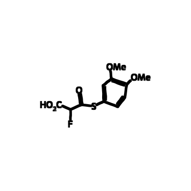 COc1ccc(SC(=O)C(F)C(=O)O)cc1OC